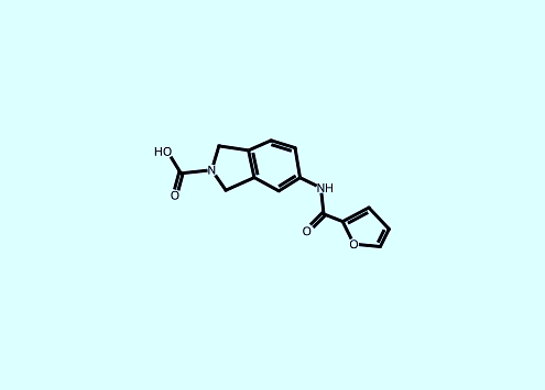 O=C(Nc1ccc2c(c1)CN(C(=O)O)C2)c1ccco1